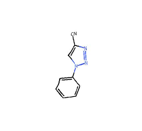 N#Cc1cn(-c2ccccc2)nn1